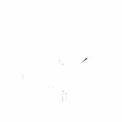 NC(=O)[C@H](Cc1ccccc1)NC(=O)CI